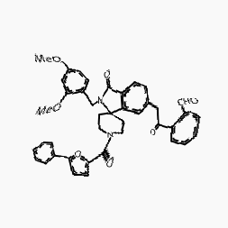 COc1ccc(CN2C(=O)c3ccc(CC(=O)c4ccccc4C=O)cc3C23CCN(C(=O)c2ccc(-c4ccccc4)o2)CC3)c(OC)c1